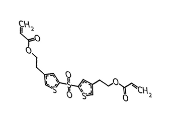 C=CC(=O)OCCc1csc(S(=O)(=O)c2cc(CCOC(=O)C=C)cs2)c1